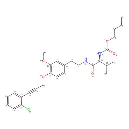 CCCCOC(=O)N[C@H](C(=O)NCCc1ccc(OCC#Cc2ccccc2Cl)c(OC)c1)C(C)C